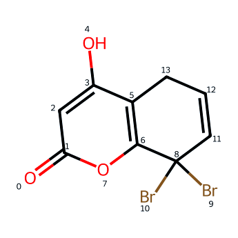 O=c1cc(O)c2c(o1)C(Br)(Br)C=CC2